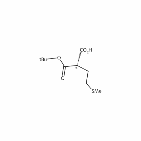 CSCC[C@@H](C(=O)O)C(=O)OC(C)(C)C